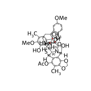 COc1ccc2oc3c(c2c1)CCN[C@]31CS[C@@H]2c3c(OC(C)=O)c(C)c4c(c3[C@H](COC1=O)N1[C@@H]2[C@@H]2N[C@@H](C(C)c3cc(C)c(OC)c(O)c32)[C@@H]1O)OCO4